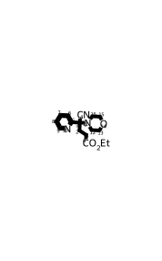 CCOC(=O)CCC(C#N)(c1ccccn1)N1CCOCC1